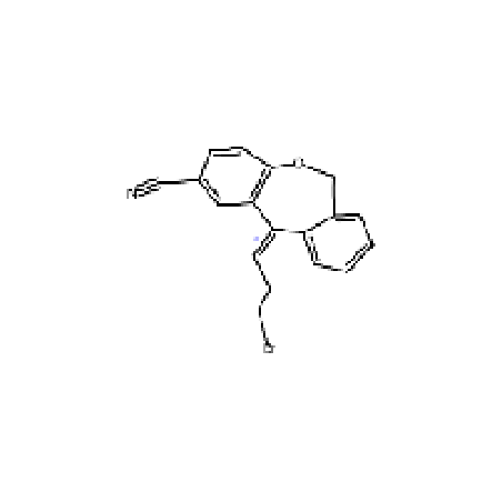 N#Cc1ccc2c(c1)/C(=C/CCBr)c1ccccc1CO2